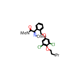 CNC(=O)/C(=N/OC)c1ccccc1COc1cc(Cl)c(OCCC(C)C)c(Cl)c1